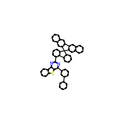 c1ccc(-c2cccc(-c3nc(-c4cccc5c4-c4ccccc4C54c5cc6ccccc6cc5-c5cc6ccccc6cc54)nc4c3sc3ccccc34)c2)cc1